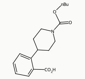 CCCCOC(=O)N1CCC(c2ccccc2C(=O)O)CC1